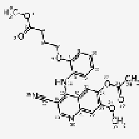 COC(=O)CCCOc1ccccc1Nc1c(C#N)cnc2cc(OC)c(OC(C)=O)cc12